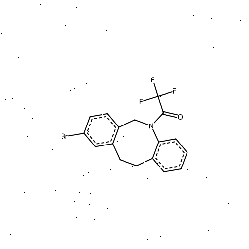 O=C(N1Cc2ccc(Br)cc2CCc2ccccc21)C(F)(F)F